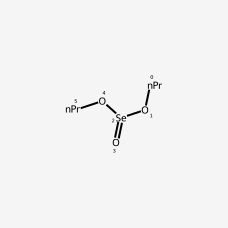 CCCO[Se](=O)OCCC